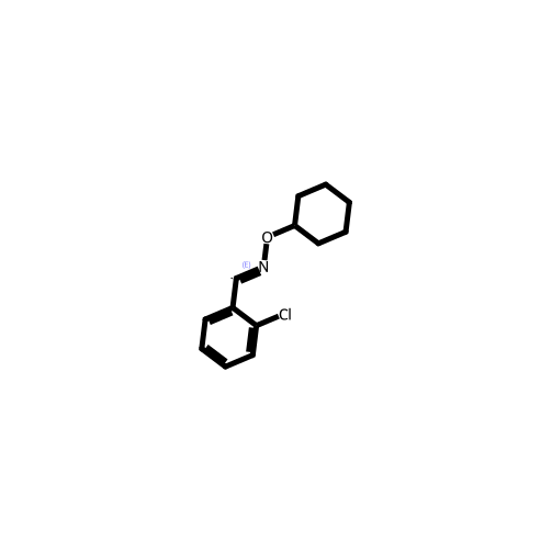 Clc1ccccc1/[C]=N/OC1CCCCC1